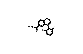 COC(=O)c1ccc2c(c1)C(c1c(F)cccc1F)=CCC2